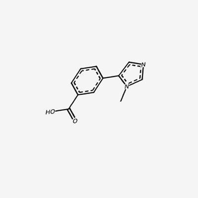 Cn1cncc1-c1cccc(C(=O)O)c1